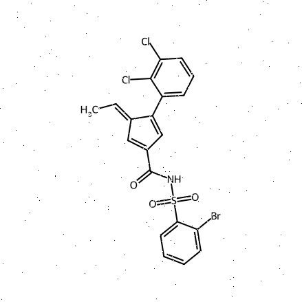 C/C=C1\C=C(C(=O)NS(=O)(=O)c2ccccc2Br)C=C1c1cccc(Cl)c1Cl